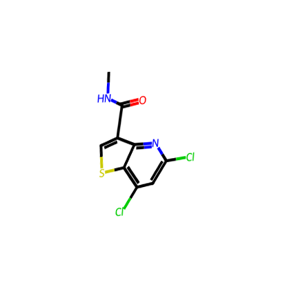 CNC(=O)c1csc2c(Cl)cc(Cl)nc12